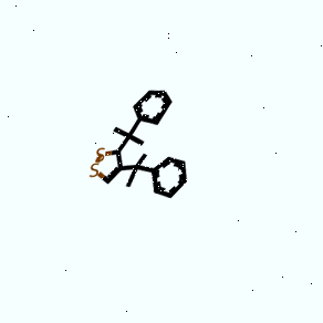 CC(C)(C1=CSSC1C(C)(C)c1ccccc1)c1ccccc1